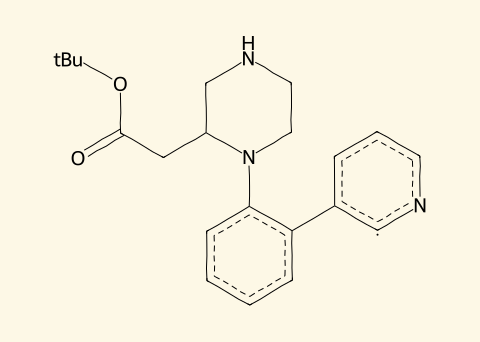 CC(C)(C)OC(=O)CC1CNCCN1c1ccccc1-c1[c]nccc1